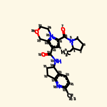 CC1CCCN1C(=O)c1cc(C(=O)NC2CCc3nc(C(F)(F)F)ccc32)c2n1CCOC2